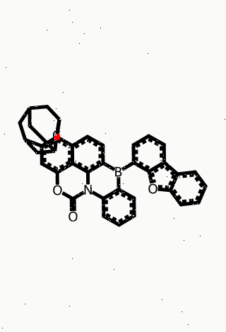 O=C1Oc2cc3c(c4ccc5c(c24)N1c1ccccc1B5c1cccc2c1oc1ccccc12)C1CC2CC(CC3C2)C1